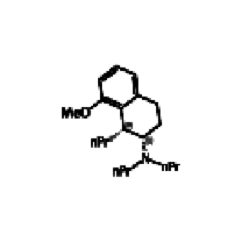 CCC[C@@H]1c2c(cccc2OC)CC[C@@H]1N(CCC)CCC